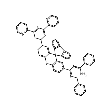 N/C(=N\C(=N/Cc1ccccc1)c1ccc2c(c1)C1(C3=CC(C4C=C(c5ccccn5)N=C(c5ccccn5)C4)CC=C3S2)c2ccccc2-c2ccccc21)c1ccccc1